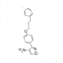 Nc1conc1-c1ccc(OCCCc2ccccc2)cc1